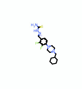 NC(=S)N/N=C/c1ccc(N2CCN(CC3CCCCC3)CC2)c(F)c1F